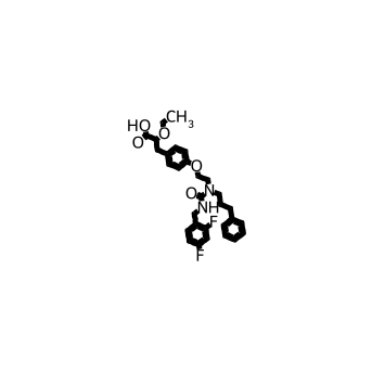 CCOC(Cc1ccc(OCCN(CCCc2ccccc2)C(=O)NCc2ccc(F)cc2F)cc1)C(=O)O